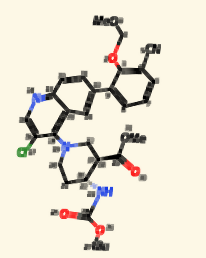 COCOc1c(C#N)cccc1-c1ccc2ncc(Cl)c(N3CC[C@@H](NC(=O)OC(C)(C)C)[C@H](C(=O)OC)C3)c2c1